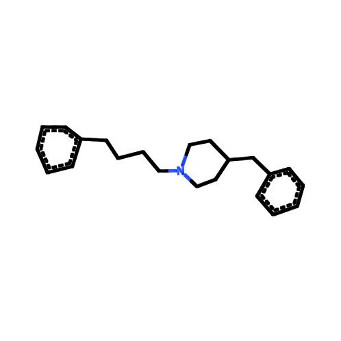 c1ccc(CCCCN2CCC(Cc3ccccc3)CC2)cc1